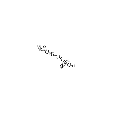 Cn1ncn(-c2ccc(N3CCN(c4ccc(OCC5COC(Cn6cncn6)(c6ccc(Cl)cc6Cl)O5)cc4)CC3)cc2)c1=O